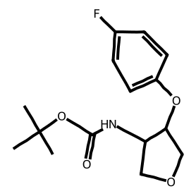 CC(C)(C)OC(=O)NC1COCC1Oc1ccc(F)cc1